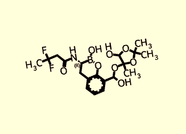 CC(F)(F)CC(=O)N[C@H]1Cc2cccc(C(O)OC3(C)OC(C)(C)OC3O)c2OB1O